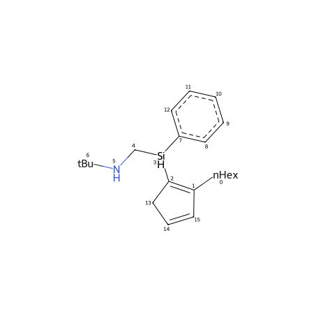 CCCCCCC1=C([SiH](CNC(C)(C)C)c2ccccc2)CC=C1